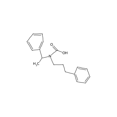 CC(c1ccccc1)N(CCCc1ccccc1)C(=O)O